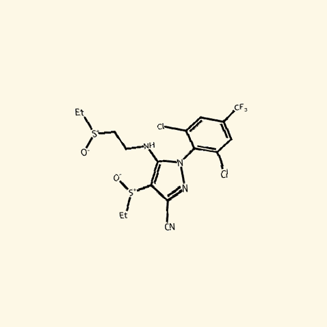 CC[S+]([O-])CCNc1c([S+]([O-])CC)c(C#N)nn1-c1c(Cl)cc(C(F)(F)F)cc1Cl